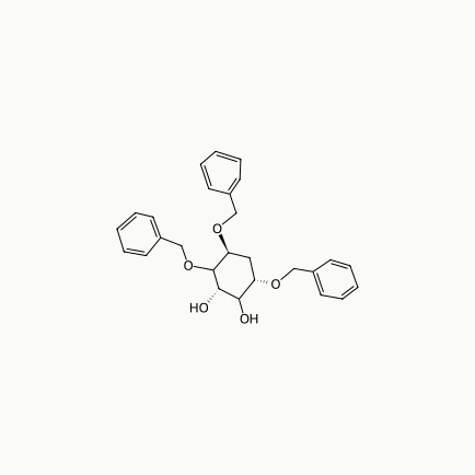 OC1[C@H](O)C(OCc2ccccc2)[C@@H](OCc2ccccc2)C[C@@H]1OCc1ccccc1